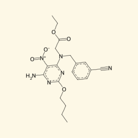 CCCCOc1nc(N)c([N+](=O)[O-])c(N(CC(=O)OCC)Cc2cccc(C#N)c2)n1